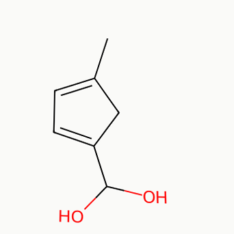 CC1=CC=C(C(O)O)C1